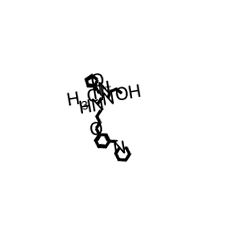 C[N+]1(c2ccco2)N=C(CO)N=C1NCCCOc1cccc(CN2CCCCC2)c1